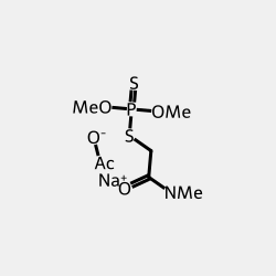 CC(=O)[O-].CNC(=O)CSP(=S)(OC)OC.[Na+]